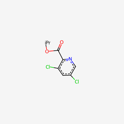 CC(C)OC(=O)c1ncc(Cl)cc1Cl